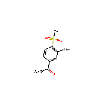 COC(=O)c1ccc(S(C)(=O)=O)c(OC)c1